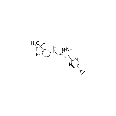 CC(F)(F)c1cc(N/C=C(/CNc2ncc(C3CC3)cn2)N=N)ccc1F